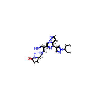 CCC(CC)n1cc(-c2nc(/C(C=N)=C/NCC3CCC(=O)N3)cn3nccc23)cn1